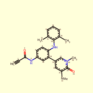 C#CC(=O)Nc1ccc(Nc2c(C)cccc2C)c(-c2cc(NC)c(=O)n(C)c2)c1